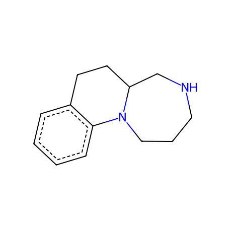 c1ccc2c(c1)CCC1CNCCCN21